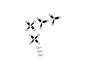 [Cu+2].[Cu+2].[Cu+2].[O]=[Mo](=[O])([O-])[O-].[O]=[Mo](=[O])([O-])[O-].[O]=[V](=[O])[O-].[O]=[V](=[O])[O-]